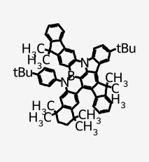 CC(C)(C)c1ccc(N2B3c4cc5c(cc4-n4c6ccc(C(C)(C)C)cc6c6c7c(c(c3c64)-c3cc4c(cc32)C(C)(C)CCC4(C)C)-c2ccccc2C7(C)C)-c2ccccc2C5(C)C)cc1